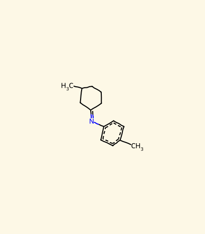 Cc1ccc(/N=C2\CCCC(C)C2)cc1